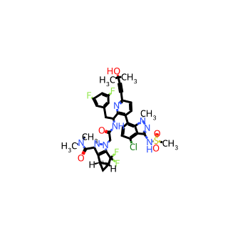 CN(C)C(=O)c1nn(CC(=O)NC(Cc2cc(F)cc(F)c2)c2nc(C#CC(C)(C)O)ccc2-c2ccc(Cl)c3c(NS(C)(=O)=O)nn(C)c23)c2c1[C@H]1C[C@H]1C2(F)F